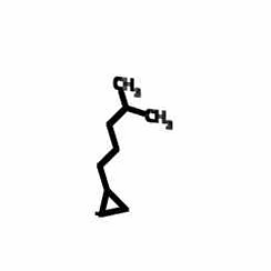 CC(C)CCCC1[CH]C1